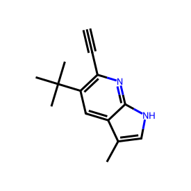 C#Cc1nc2[nH]cc(C)c2cc1C(C)(C)C